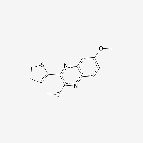 COc1ccc2nc(OC)c(C3=CCCS3)nc2c1